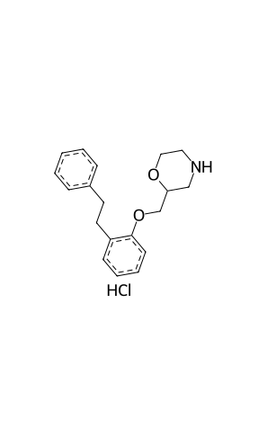 Cl.c1ccc(CCc2ccccc2OCC2CNCCO2)cc1